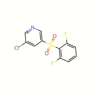 O=S(=O)(c1cncc(Cl)c1)c1c(F)cccc1F